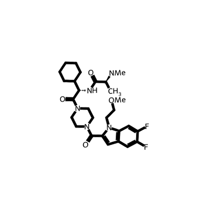 CN[C@@H](C)C(=O)N[C@H](C(=O)N1CCN(C(=O)c2cc3cc(F)c(F)cc3n2CCOC)CC1)C1CCCCC1